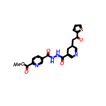 COC(=O)c1ccc(C(=O)NNC(=O)C2=CN=CC(CC(=O)c3cccs3)C2)cn1